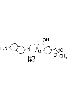 CS(=O)(=O)Nc1ccc2c(c1)C(O)CC1(CCN([C@@H]3CCc4cc(N)ccc4C3)CC1)O2.Cl.Cl